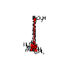 CCn1nc(C)cc1C(=O)/N=c1\[nH]c2cc(C(N)=O)cc(OC)c2n1C/C=C/Cn1/c(=N/C(=O)c2cc(C)nn2CC)[nH]c2cc(C(N)=O)cc(OCCCN3CCN(C(=O)CCOCCOCCOCCOCCOCCOCCOCCOCCOCCOCCC(=O)Oc4c(F)c(F)c(S(=O)(=O)O)c(F)c4F)CC3)c21